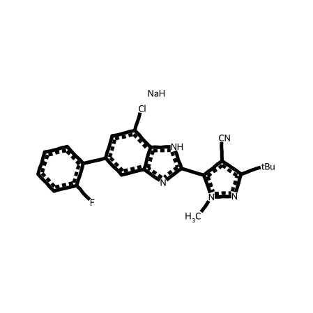 Cn1nc(C(C)(C)C)c(C#N)c1-c1nc2cc(-c3ccccc3F)cc(Cl)c2[nH]1.[NaH]